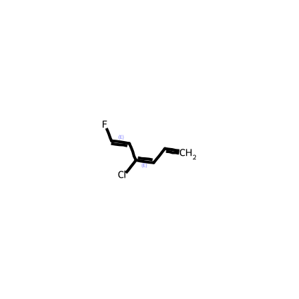 C=C/C=C(Cl)\C=C\F